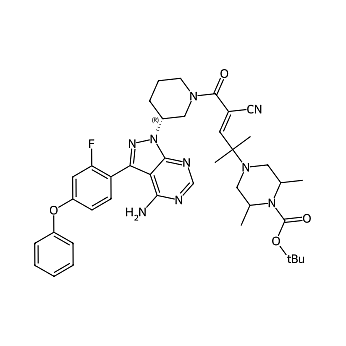 CC1CN(C(C)(C)C=C(C#N)C(=O)N2CCC[C@@H](n3nc(-c4ccc(Oc5ccccc5)cc4F)c4c(N)ncnc43)C2)CC(C)N1C(=O)OC(C)(C)C